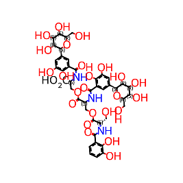 O=C(N[C@@H](COC(=O)[C@H](COC(=O)[C@H](CO)NC(=O)c1cccc(O)c1O)NC(=O)c1cc([C@@H]2O[C@H](CO)[C@@H](O)[C@H](O)[C@H]2O)cc(O)c1O)C(=O)O)c1cc([C@@H]2O[C@H](CO)[C@@H](O)[C@H](O)[C@H]2O)cc(O)c1O